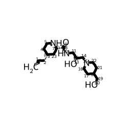 C=CC[C@@H]1CCN[C@H](C(=O)NC[C@@H](O)CN2CCC(CO)CC2)C1